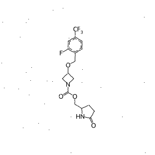 O=C1CCC(COC(=O)N2CC(OCc3ccc(C(F)(F)F)cc3F)C2)N1